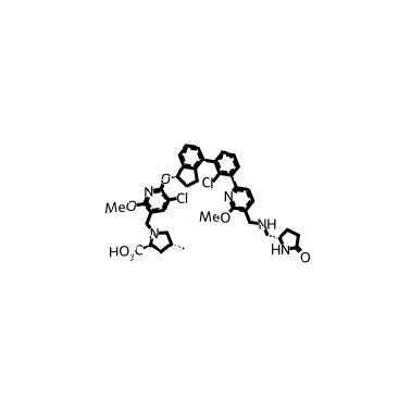 COc1nc(-c2cccc(-c3cccc4c3CC[C@@H]4Oc3nc(OC)c(CN4C[C@H](C)C[C@H]4C(=O)O)cc3Cl)c2Cl)ccc1CNC[C@@H]1CCC(=O)N1